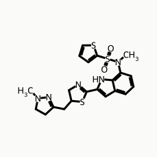 CN1CCC(CC2CN=C(c3cc4cccc(N(C)S(=O)(=O)c5cccs5)c4[nH]3)S2)=N1